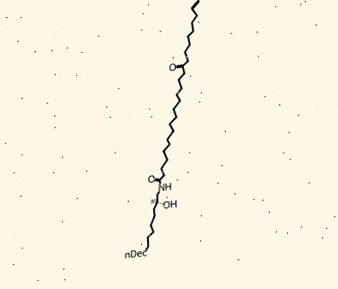 CCCCCCCCC=CCCCCCCCC(=O)CCCCCCCCCCCCCCCC(=O)NC[C@H](O)CCCCCCCCCCCCCCCC